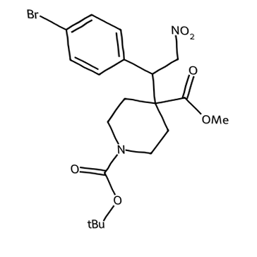 COC(=O)C1(C(C[N+](=O)[O-])c2ccc(Br)cc2)CCN(C(=O)OC(C)(C)C)CC1